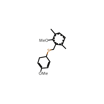 COC1=CCC(SCc2c(C)ccc(C)c2OC)C=C1